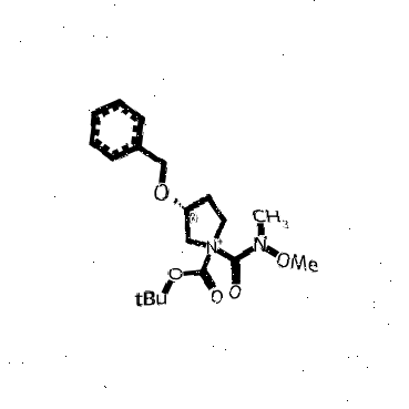 CON(C)C(=O)[N+]1(C(=O)OC(C)(C)C)CC[C@@H](OCc2ccccc2)C1